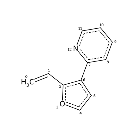 C=Cc1occc1-c1ccccn1